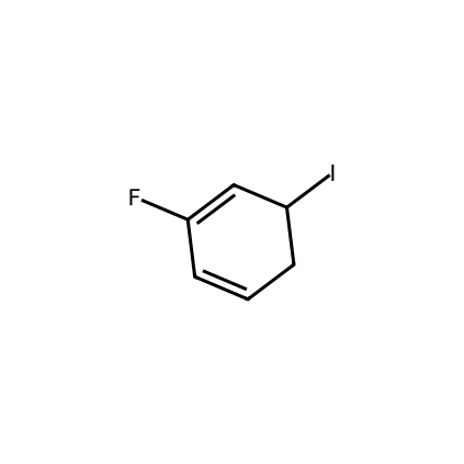 FC1=CC(I)CC=C1